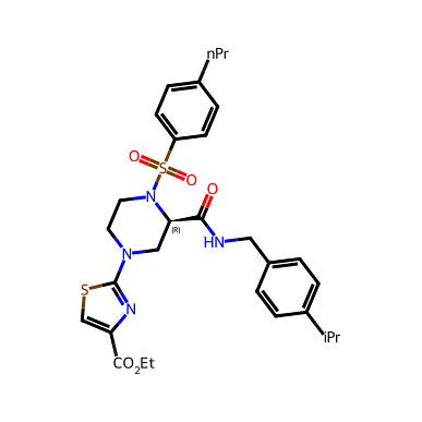 CCCc1ccc(S(=O)(=O)N2CCN(c3nc(C(=O)OCC)cs3)C[C@@H]2C(=O)NCc2ccc(C(C)C)cc2)cc1